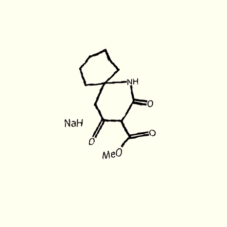 COC(=O)C1C(=O)CC2(CCCCC2)NC1=O.[NaH]